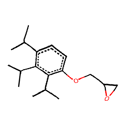 CC(C)c1ccc(OCC2CO2)c(C(C)C)c1C(C)C